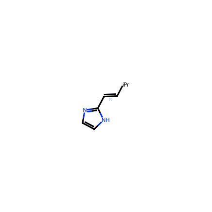 CC(C)/C=C/c1ncc[nH]1